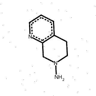 NN1CCc2cccnc2C1